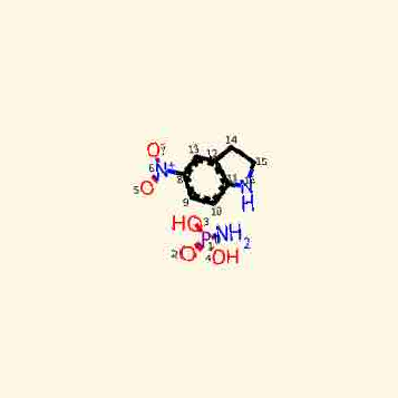 NP(=O)(O)O.O=[N+]([O-])c1ccc2c(c1)CCN2